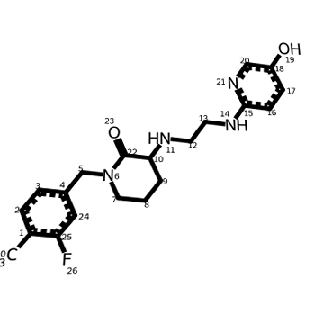 Cc1ccc(CN2CCCC(NCCNc3ccc(O)cn3)C2=O)cc1F